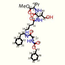 COC(=O)C(NC(=O)C(NC(=O)CCCC[C@@H](Cc1ccccc1)NC(=O)[C@H](C)NC(=O)OCc1ccccc1)C(C)CO)C(C)C